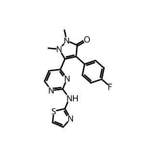 Cn1c(-c2ccnc(Nc3nccs3)n2)c(-c2ccc(F)cc2)c(=O)n1C